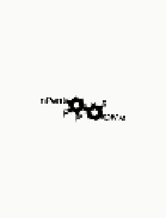 CCCCCc1ccc(-c2ccc(OC)c(F)c2)c(F)c1F